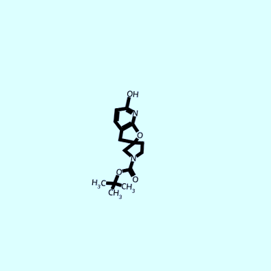 CC(C)(C)OC(=O)N1CCC2(Cc3ccc(O)nc3O2)C1